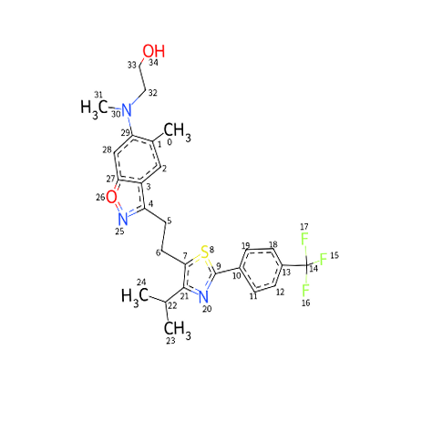 Cc1cc2c(CCc3sc(-c4ccc(C(F)(F)F)cc4)nc3C(C)C)noc2cc1N(C)CCO